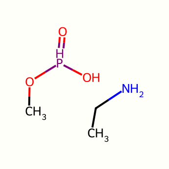 CCN.CO[PH](=O)O